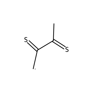 [CH2]C(=S)C(C)=S